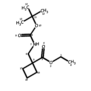 CCOC(=O)C1(CNC(=O)OC(C)(C)C)CCC1